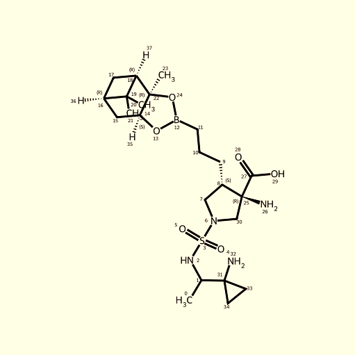 CC(NS(=O)(=O)N1C[C@H](CCCB2O[C@H]3C[C@H]4C[C@H](C4(C)C)[C@@]3(C)O2)[C@](N)(C(=O)O)C1)C1(N)CC1